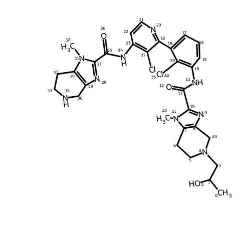 CC(O)CN1CCc2c(nc(C(=O)Nc3cccc(-c4nccc(NC(=O)c5nc6c(n5C)CCNC6)c4Cl)c3Cl)n2C)C1